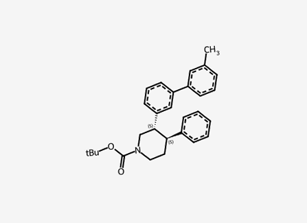 Cc1cccc(-c2cccc([C@H]3CN(C(=O)OC(C)(C)C)CC[C@@H]3c3ccccc3)c2)c1